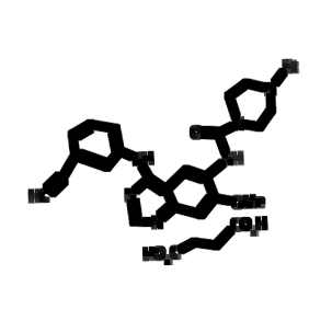 C#Cc1cccc(Nc2ncnc3cc(OC)c(NC(=O)N4CCN(CC)CC4)cc23)c1.O=C(O)CCC(=O)O